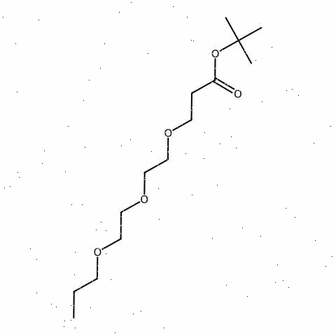 CCCOCCOCCOCCC(=O)OC(C)(C)C